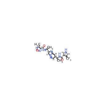 Cc1nonc1C(=O)N[C@@H](C)c1cn2ncc([C@@H](C)NC(=O)[C@@H]3CNC[C@H]3C(F)(F)F)cc2n1